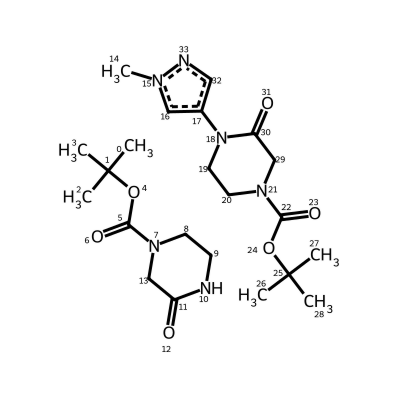 CC(C)(C)OC(=O)N1CCNC(=O)C1.Cn1cc(N2CCN(C(=O)OC(C)(C)C)CC2=O)cn1